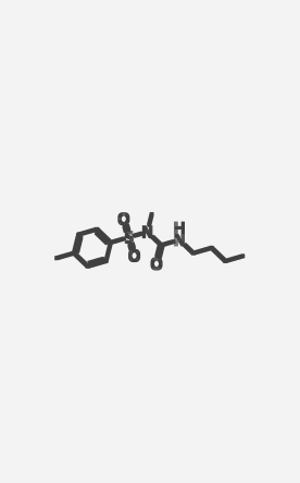 CCCCNC(=O)N(C)S(=O)(=O)c1ccc(C)cc1